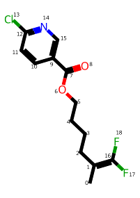 CC(CCCCOC(=O)c1ccc(Cl)nc1)=C(F)F